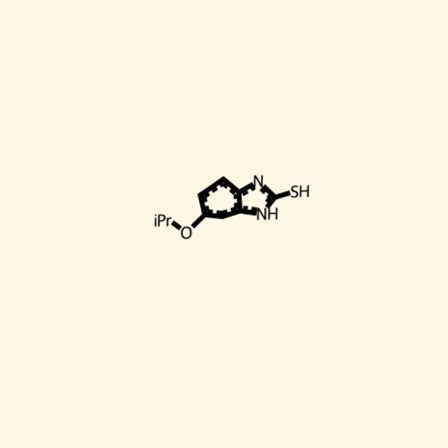 CC(C)Oc1ccc2nc(S)[nH]c2c1